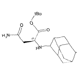 CC(C)(C)OC(=O)[C@H](CC(N)=O)NC1C2CC3CC(C2)CC1C3